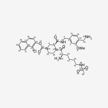 COc1cc(CNC(=O)[C@@H]2CN(C(=O)Oc3ccc4ccccc4c3Cl)CCN2C(=O)[C@H](N)CCCCNS(C)(=O)=O)ccc1CN